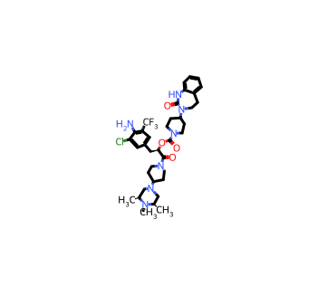 C[C@@H]1CN(C2CCN(C(=O)[C@@H](Cc3cc(Cl)c(N)c(C(F)(F)F)c3)OC(=O)N3CCC(N4CCc5ccccc5NC4=O)CC3)CC2)C[C@H](C)N1C